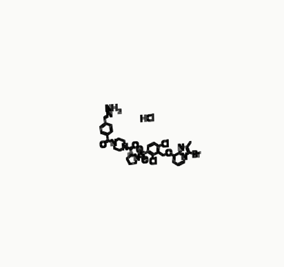 Cc1nc2c(OCc3c(Cl)ccc(S(=O)(=O)N4CCC[C@H]4C(=O)N4CCN(C(=O)c5ccc(C=NN)cc5)CC4)c3Cl)cccn2c1Br.Cl